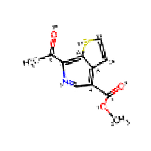 COC(=O)c1cnc(C(C)=O)c2sccc12